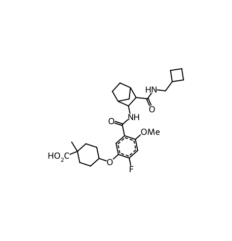 COc1cc(F)c(OC2CCC(C)(C(=O)O)CC2)cc1C(=O)NC1C2CCC(C2)C1C(=O)NCC1CCC1